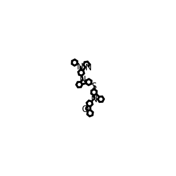 c1ccc(-n2c3ccc(-n4c5ccccc5c5cc(Sc6ccc7c(c6)c6ccccc6n7-c6ccc7oc8ccccc8c7c6)ccc54)cc3c3ncccc32)cc1